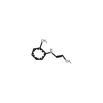 C/C=C/Nc1ccccc1C